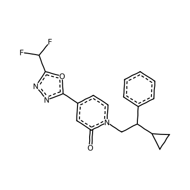 O=c1cc(-c2nnc(C(F)F)o2)ccn1CC(c1ccccc1)C1CC1